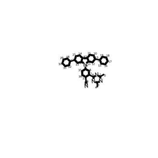 Cc1nc(C)nc(-c2cc(-n3c4cc(-c5ccccc5)ccc4c4ccc(-c5ccccc5)cc43)ccc2C#N)n1